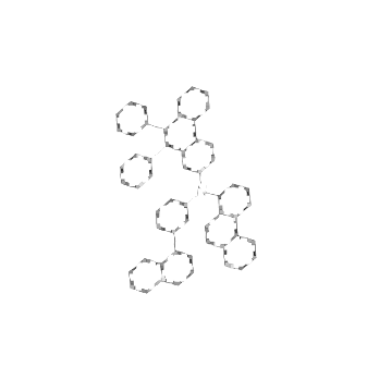 c1ccc(-c2c(-c3ccccc3)c3cc(N(c4cccc(-c5cccc6ccccc56)c4)c4cccc5c4ccc4ccccc45)ccc3c3ccccc23)cc1